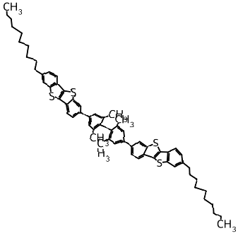 CCCCCCCCCCc1ccc2c(c1)sc1c3ccc(-c4cc(C)c(-c5c(C)cc(-c6ccc7c(c6)sc6c8ccc(CCCCCCCCCC)cc8sc76)cc5C)c(C)c4)cc3sc21